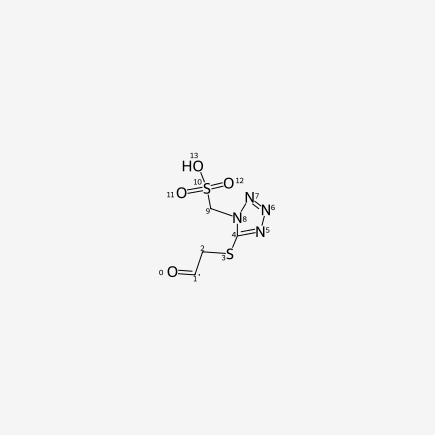 O=[C]CSc1nnnn1CS(=O)(=O)O